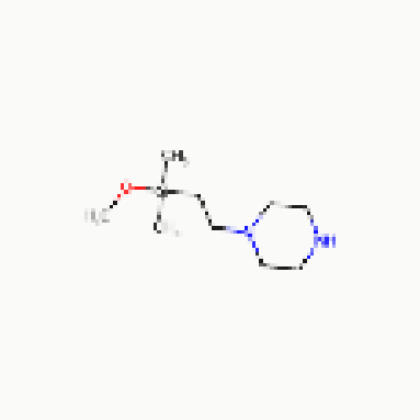 CO[Si](C)(C)CCN1CCNCC1